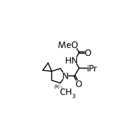 COC(=O)NC(C(=O)N1CC2(CC2)C[C@H]1C)C(C)C